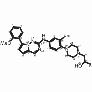 COc1ccccc1-c1ccc2cnc(Nc3ccc(N4CCN(CC(C)O)CC4)c(F)c3)nn12